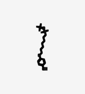 C[Si](C)(C)O[Si](C)(C)CCCCCCCOc1ccc(O)cc1